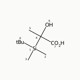 CC(C)(C)[Si](C)(C)C(C)(O)C(=O)O